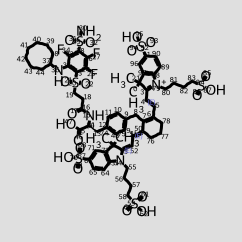 CC1(C)C(/C=C/C2=C(Cc3ccc(C[C@H](NC(=O)CCS(=O)(=O)c4c(F)c(F)c(S(N)(=O)=O)c(F)c4NC4CCCCCCC4)C(=O)O)cc3)C(=C/C=C3/N(CCCCS(=O)(=O)O)c4ccc(S(=O)(=O)O)cc4C3(C)C)/CCC2)=[N+](CCCCS(=O)(=O)O)c2ccc(S(=O)(=O)O)cc21